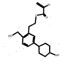 C=C(CC)C(=O)OCCc1cc(C2CCC(CCC)CC2)ccc1CO